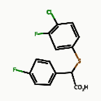 O=C(O)C(Sc1ccc(Cl)c(F)c1)c1ccc(F)cc1